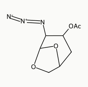 CC(=O)OC1CC2COC(O2)C1N=[N+]=[N-]